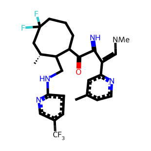 CN/C=C(\C(=N)C(=O)C1CCCC(F)(F)C[C@@H](C)C1CNc1ccc(C(F)(F)F)cn1)c1cc(C)ccn1